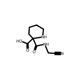 N#CCNC(=O)C1(C(=O)O)CCCCN1